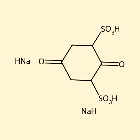 O=C1CC(S(=O)(=O)O)C(=O)C(S(=O)(=O)O)C1.[NaH].[NaH]